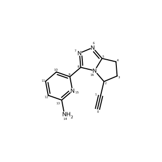 C#CC1CCc2nnc(-c3cccc(N)n3)n21